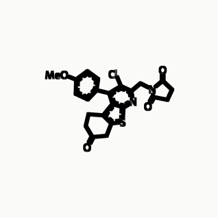 COc1ccc(-c2c(Cl)c(CN3C(=O)CCC3=O)nc3sc4c(c23)CCC(=O)C4)cc1